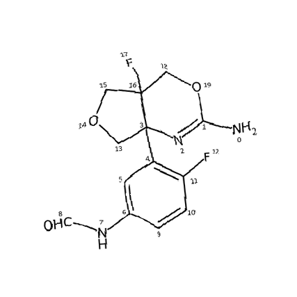 NC1=NC2(c3cc(NC=O)ccc3F)COCC2(F)CO1